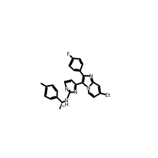 CCc1ccn2c(-c3ccnc(N[C@@H](C)c4ccc(C)cc4)n3)c(-c3ccc(F)cc3)nc2c1